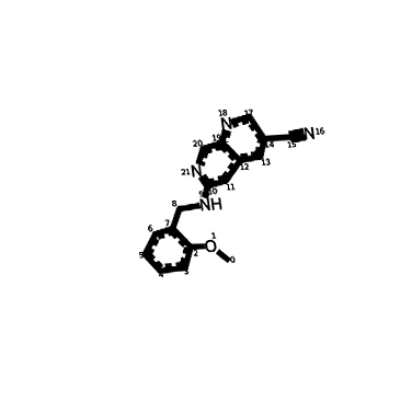 COc1ccccc1CNc1cc2cc(C#N)cnc2cn1